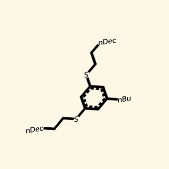 [CH2]CCCc1cc(SCCCCCCCCCCCC)cc(SCCCCCCCCCCCC)c1